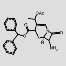 CC(=O)OC(C)C1=CN2C(=O)C(N)[C@H]2SC1C(=O)OC(c1ccccc1)c1ccccc1